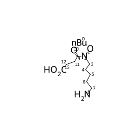 CCCCON(CCCCCN)C(=O)CCC(=O)O